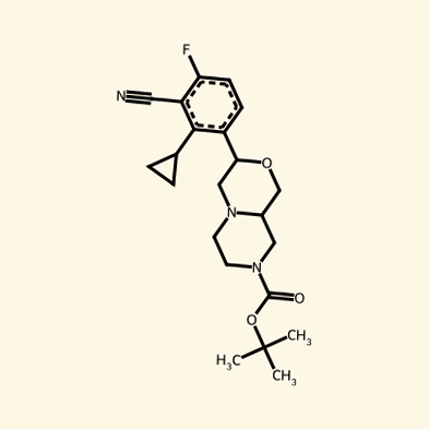 CC(C)(C)OC(=O)N1CCN2CC(c3ccc(F)c(C#N)c3C3CC3)OCC2C1